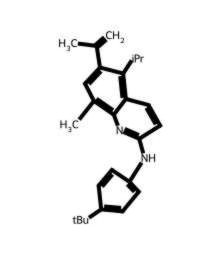 C=C(C)c1cc(C)c2nc(Nc3ccc(C(C)(C)C)cc3)ccc2c1C(C)C